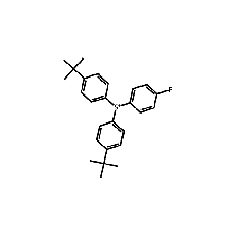 CC(C)(C)c1ccc([S+](c2ccc(F)cc2)c2ccc(C(C)(C)C)cc2)cc1